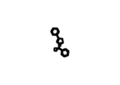 O=C(c1ccccc1)N1C=C(c2ccccc2)CC1